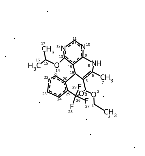 CCOC(=O)C1=C(C)Nc2ncnc(OC(C)C)c2C1c1ccccc1C(F)(F)F